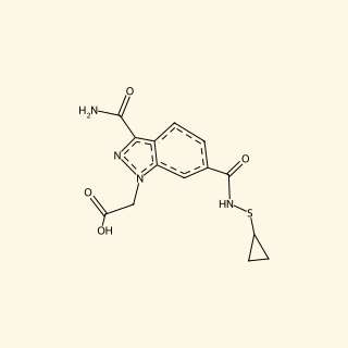 NC(=O)c1nn(CC(=O)O)c2cc(C(=O)NSC3CC3)ccc12